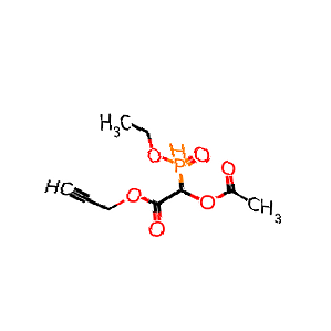 C#CCOC(=O)C(OC(C)=O)[PH](=O)OCC